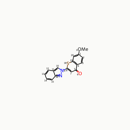 COc1ccc2c(=O)cc(-n3cc4ccccc4n3)sc2c1